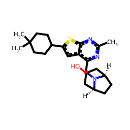 Cc1nc(CN2[C@@H]3CC[C@H]2C[C@@H](O)C3)c2cc(C3CCC(C)(C)CC3)sc2n1